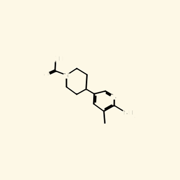 Cc1cc(C2CCN(C(=O)O)CC2)cnc1N